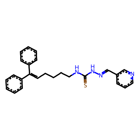 S=C(NCCCCC=C(c1ccccc1)c1ccccc1)NN=Cc1cccnc1